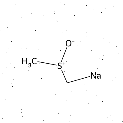 C[S+]([O-])[CH2][Na]